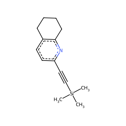 C[Si](C)(C)C#Cc1ccc2c(n1)CCCC2